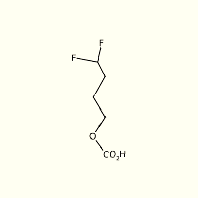 O=C(O)OCCCC(F)F